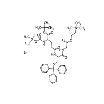 CC(C)(C)OC(=O)NC(CCC(=O)NC(CSC(c1ccccc1)(c1ccccc1)c1ccccc1)C(=O)NCC(=O)OCC[N+](C)(C)C)C(=O)OC(C)(C)C.[Br-]